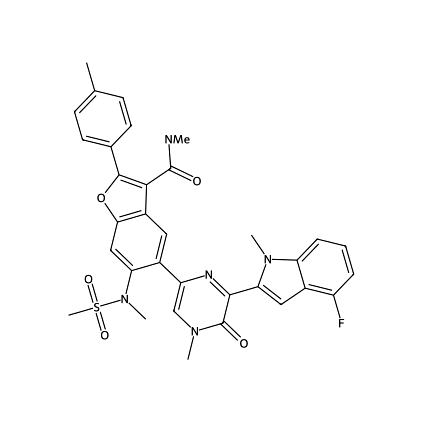 CNC(=O)c1c(-c2ccc(C)cc2)oc2cc(N(C)S(C)(=O)=O)c(-c3cn(C)c(=O)c(-c4cc5c(F)cccc5n4C)n3)cc12